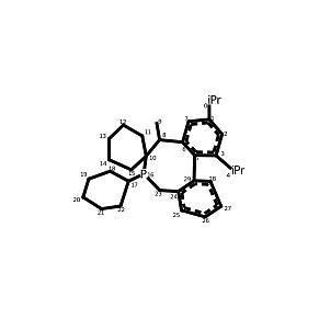 CC(C)c1cc(C(C)C)c2c(c1)C(C)C1(CCCCC1)P(C1CCCCC1)Cc1ccccc1-2